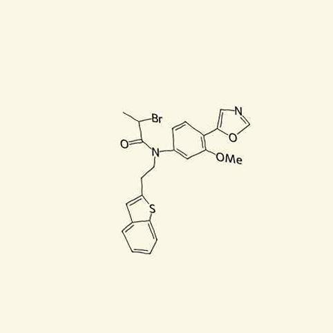 COc1cc(N(CCc2cc3ccccc3s2)C(=O)C(C)Br)ccc1-c1cnco1